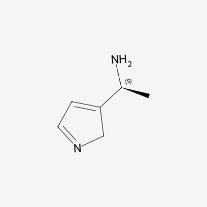 C[C@H](N)C1=CC=NC1